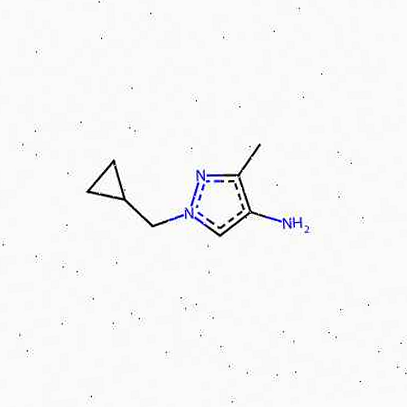 Cc1nn(CC2CC2)cc1N